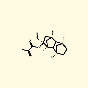 C=C(C)C(=O)O[C@@]1(CC)C[C@@H]2C[C@H]1C1C2[C@H]2CC[C@@H]1C2